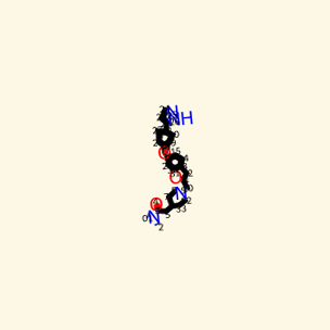 CN(C)C(=O)CC1CCN(CC2Cc3ccc(Oc4ccc(-c5ccn[nH]5)cc4)cc3O2)CC1